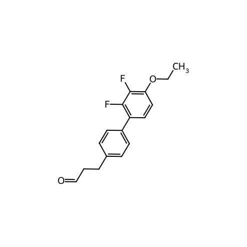 CCOc1ccc(-c2ccc(CCC=O)cc2)c(F)c1F